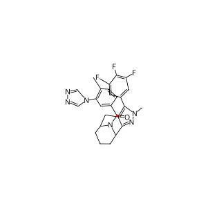 Cc1ccc(C(=O)N2C3CCCC2c2nn(C)c(-c4cc(F)c(F)c(F)c4)c2C3)cc1-n1cnnc1